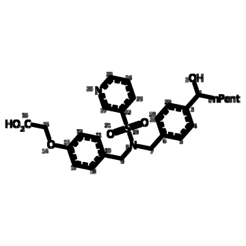 CCCCCC(O)c1ccc(CN(Cc2ccc(OCC(=O)O)cc2)S(=O)(=O)c2cccnc2)cc1